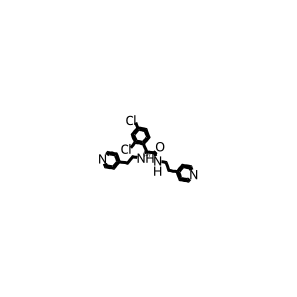 O=C(NCCc1ccncc1)[C@@H](NCCc1ccncc1)c1ccc(Cl)cc1Cl